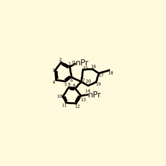 CCCc1ccccc1C1(c2ccccc2CCC)CCC(C)CC1